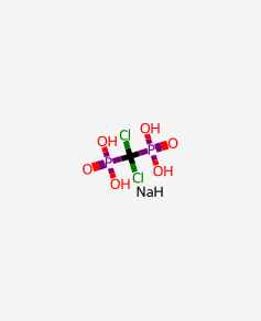 O=P(O)(O)C(Cl)(Cl)P(=O)(O)O.[NaH]